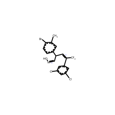 Cc1cc(C(/C=N\O)/C=C(\c2cc(Cl)cc(Cl)c2)C(F)(F)F)ccc1Br